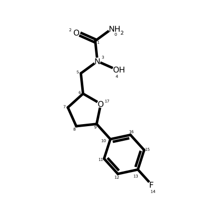 NC(=O)N(O)CC1CCC(c2ccc(F)cc2)O1